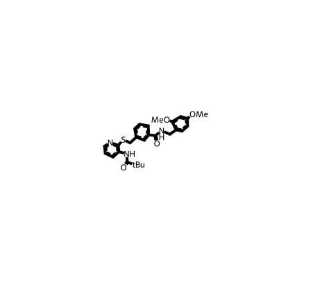 COc1ccc(CNC(=O)c2cccc(CSc3ncccc3NC(=O)C(C)(C)C)c2)c(OC)c1